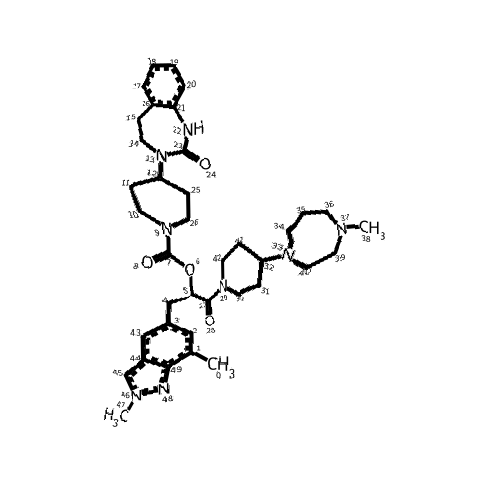 Cc1cc(C[C@@H](OC(=O)N2CCC(N3CCc4ccccc4NC3=O)CC2)C(=O)N2CCC(N3CCCN(C)CC3)CC2)cc2cn(C)nc12